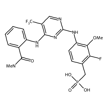 CNC(=O)c1ccccc1Nc1nc(Nc2ccc(CP(=O)(O)O)c(F)c2OC)ncc1C(F)(F)F